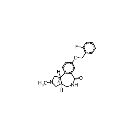 CN1C[C@@H]2CNC(=O)c3cc(OCc4ccccc4F)ccc3[C@H]2C1